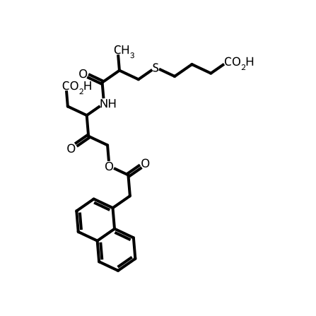 CC(CSCCCC(=O)O)C(=O)NC(CC(=O)O)C(=O)COC(=O)Cc1cccc2ccccc12